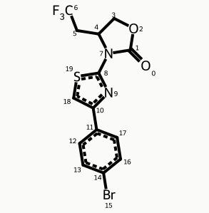 O=C1OCC(CC(F)(F)F)N1c1nc(-c2ccc(Br)cc2)cs1